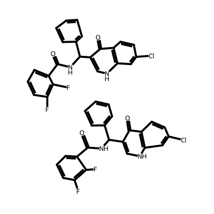 O=C(NC(c1ccccc1)c1c[nH]c2cc(Cl)ccc2c1=O)c1cccc(F)c1F.O=C(NC(c1ccccc1)c1c[nH]c2cc(Cl)ccc2c1=O)c1cccc(F)c1F